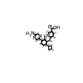 Nc1cnc(-c2ccc(C3CCC3)c(Cc3ccc(C(=O)O)cn3)c2F)cn1